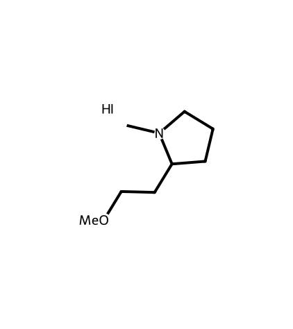 COCCC1CCCN1C.I